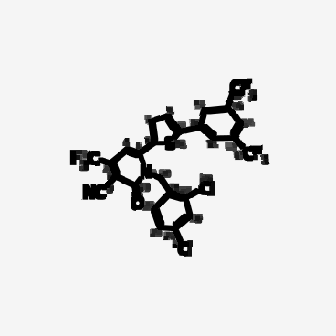 N#Cc1c(C(F)(F)F)cc(-c2ccc(-c3cc(C(F)(F)F)cc(C(F)(F)F)c3)s2)n(Cc2ccc(Cl)cc2Cl)c1=O